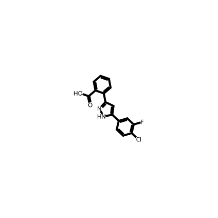 O=C(O)c1ccccc1-c1cc(-c2ccc(Cl)c(F)c2)[nH]n1